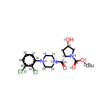 CC(C)(C)OC(=O)N1C[C@H](O)C[C@H]1C(=O)N1CCN(c2cccc(Cl)c2Cl)CC1